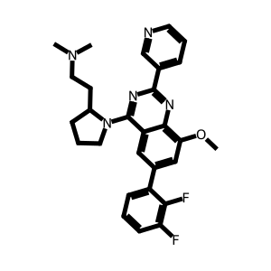 COc1cc(-c2cccc(F)c2F)cc2c(N3CCCC3CCN(C)C)nc(-c3cccnc3)nc12